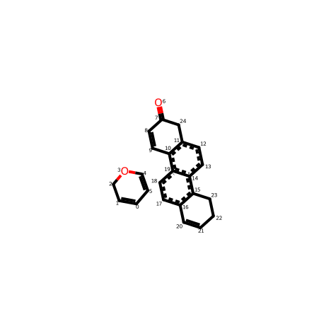 C1=CCOC=C1.O=C1C=Cc2c(ccc3c4c(ccc23)C=CCC4)C1